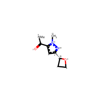 CNC(=O)c1cc([C@H]2CCO2)nn1C